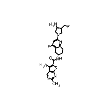 Cc1ncc2c(N)c(C(=O)NC3CCc4nc(N5CC(N)C(CF)C5)cc(F)c4C3)sc2n1